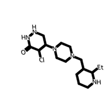 CCC1NCCCC1CN1CCN(C2CNNC(=O)C2Cl)CC1